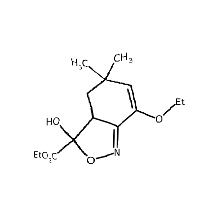 CCOC(=O)C1(O)ON=C2C(OCC)=CC(C)(C)CC21